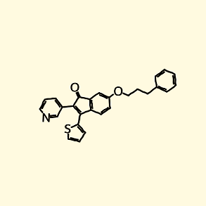 O=C1C(c2cccnc2)=C(c2cccs2)c2ccc(OCCCc3ccccc3)cc21